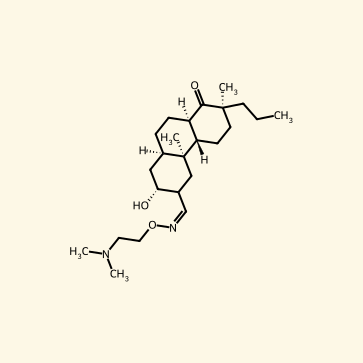 CCC[C@@]1(C)CC[C@H]2[C@@H](CC[C@@H]3C[C@@H](O)C(/C=N\OCCN(C)C)C[C@@]32C)C1=O